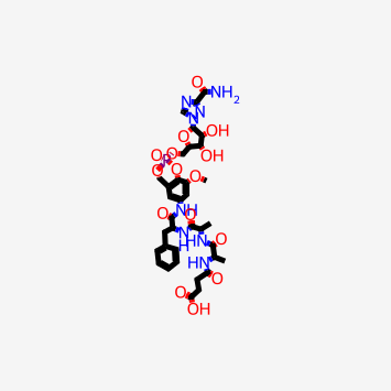 COc1cc(NC(=O)C(Cc2ccccc2)NC(=O)C(C)NC(=O)C(C)NC(=O)CCC(=O)O)cc2c1OP(=O)(OCC1OC(n3cnc(C(N)=O)n3)C(O)C1O)OC2